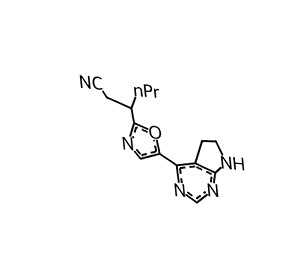 CCCC(CC#N)c1ncc(-c2ncnc3c2CCN3)o1